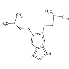 CC(C)CCc1cc2[nH]cnc2cc1SSC(C)C